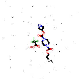 C=CCOC(=O)N1CCN(C(=O)OC2CNC2)CC1.O=C(O)C(F)(F)F